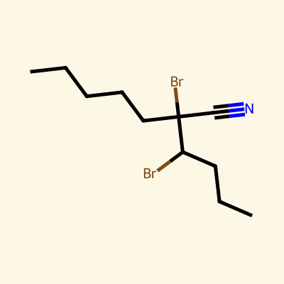 CCCCCC(Br)(C#N)C(Br)CCC